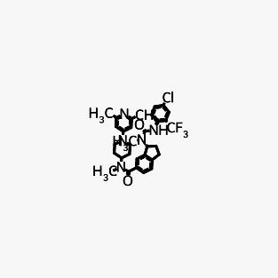 Cc1cc(N2CCC(N(C)C(=O)c3ccc4c(c3)C(N(C)C(=O)Nc3ccc(Cl)cc3C(F)(F)F)CC4)CC2)cc(C)n1